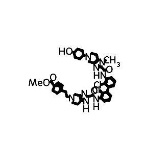 COC(=O)C12CCC(CCN3CCc4[nH]c(C(=O)Nc5cccc(-c6cccc(NC(=O)c7nc8c(n7C)CCN(C7CCC(O)CC7)C8)c6Cl)c5Cl)nc4C3)(CC1)C2